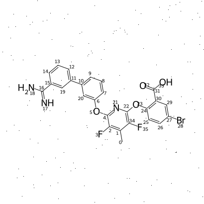 Cc1c(F)c(Oc2cccc(-c3cccc(C(=N)N)c3)c2)nc(Oc2ccc(Br)cc2C(=O)O)c1F